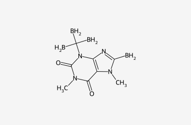 Bc1nc2c(c(=O)n(C)c(=O)n2C(B)(B)B)n1C